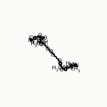 Cc1ncsc1-c1ccc(CNC(=O)[C@@H]2CC(=O)CN2C(=O)[C@@H](NC(=O)CCCCCOCCOCCOCCCCCCOc2ccc([C@@H](C)NC(=O)c3cccc(NCc4nnc(-c5ccncn5)n4C)c3)cc2)C(C)(C)C)cc1